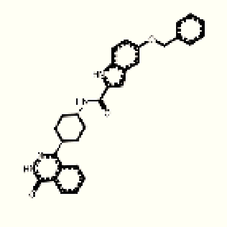 O=C(N[C@H]1CC[C@H](c2n[nH]c(=O)c3ccccc32)CC1)c1cc2cc(OCc3ccccc3)ccc2[nH]1